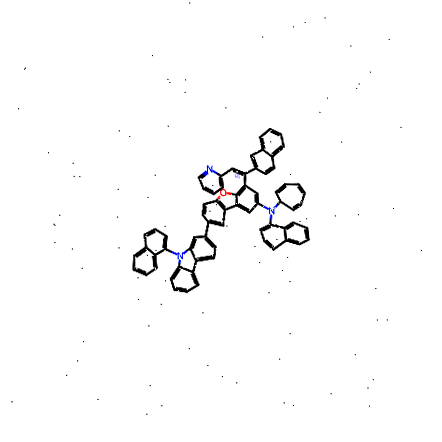 C1=CC=CC(N(c2cc(/C(=C\c3ccccn3)c3ccc4ccccc4c3)c3oc4ccc(-c5ccc6c7ccccc7n(-c7cccc8ccccc78)c6c5)cc4c3c2)c2cccc3ccccc23)C=C1